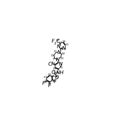 O=S(=O)(Nc1cnc(N2CCCN(c3nccc(C(F)(F)F)n3)CC2)c(Cl)c1)c1ccc(F)c(F)c1F